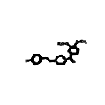 COc1ccc(C(=O)N2CCN(CCc3ccc(F)cc3)CC2)cc1OC